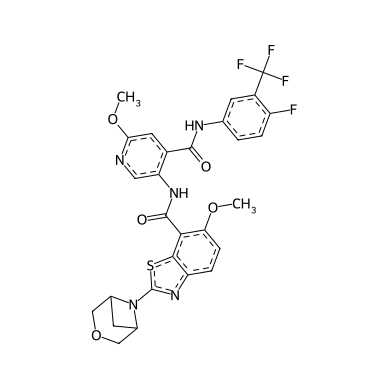 COc1cc(C(=O)Nc2ccc(F)c(C(F)(F)F)c2)c(NC(=O)c2c(OC)ccc3nc(N4C5COCC4C5)sc23)cn1